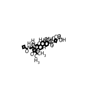 CC(C)C1=C2[C@H]3CC[C@@H]4[C@@]5(C)CC[C@H](OC(=O)[C@H]6C[C@@H](C(=O)O)C6(C)C)C(C)(C)[C@@H]5CC[C@@]4(C)[C@]3(C)CC[C@@]2([C@@H](O)CNC(=O)C2CCC2)CC1=O